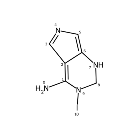 NC1=C2C=NC=C2NCN1I